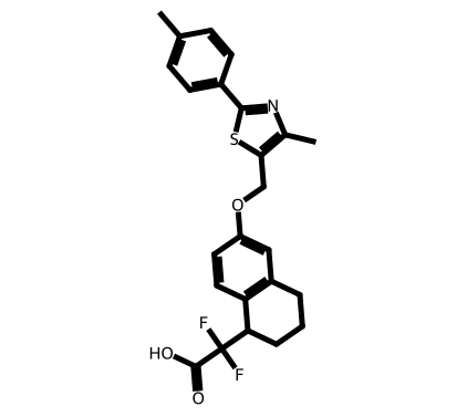 Cc1ccc(-c2nc(C)c(COc3ccc4c(c3)CCCC4C(F)(F)C(=O)O)s2)cc1